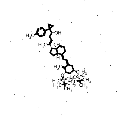 C=C1/C(=C\C=C2/CCC[C@]3(C)[C@@H](C(C)=CC[C@@H](O)C4(c5ccc(C)cc5)CC4)CC[C@@H]23)C[C@@H](O[Si](C)(C)C(C)(C)C)C[C@@H]1O[Si](C)(C)C(C)(C)C